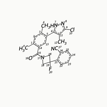 Cc1cc(C)c(-c2[nH]nc(Cl)c2C)cc1C(=O)N1CC(F)(c2ccccc2C#N)C1